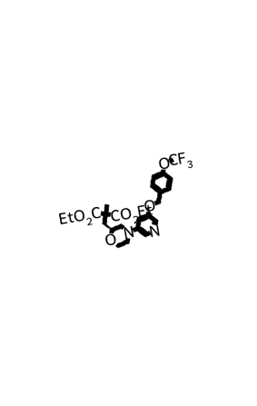 CCOC(=O)C(C)(C[C@H]1CN(c2cncc(OCc3ccc(OC(F)(F)F)cc3)c2)CCO1)C(=O)OCC